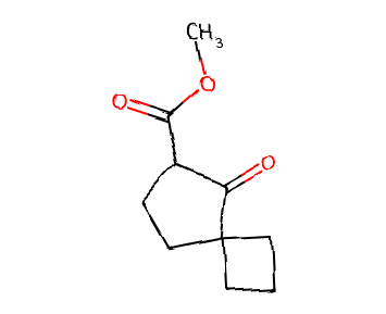 COC(=O)C1CCC2(CCC2)C1=O